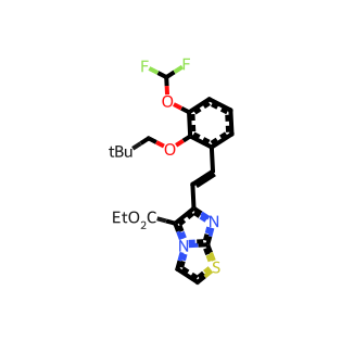 CCOC(=O)c1c(/C=C/c2cccc(OC(F)F)c2OCC(C)(C)C)nc2sccn12